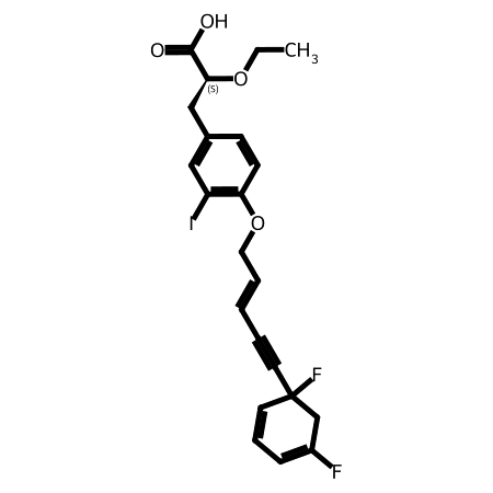 CCO[C@@H](Cc1ccc(OCC=CC#CC2(F)C=CC=C(F)C2)c(I)c1)C(=O)O